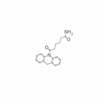 NC(=O)CCCCC(=O)N1c2ccccc2Cc2ccccc21